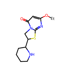 CCOc1cc(=O)n2c(n1)SC(C1CCCCN1)C2